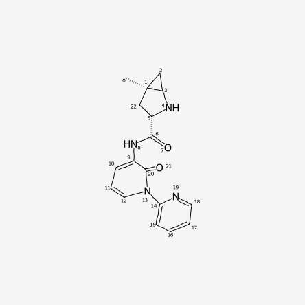 C[C@]12CC1N[C@H](C(=O)Nc1cccn(-c3ccccn3)c1=O)C2